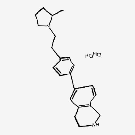 CC1CCCN1CCc1ccc(-c2ccc3c(c2)CCNC3)cc1.Cl.Cl